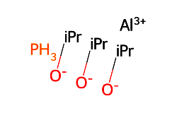 CC(C)[O-].CC(C)[O-].CC(C)[O-].P.[Al+3]